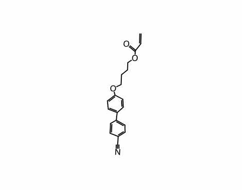 C=CC(=O)OCCCCOc1ccc(-c2ccc(C#N)cc2)cc1